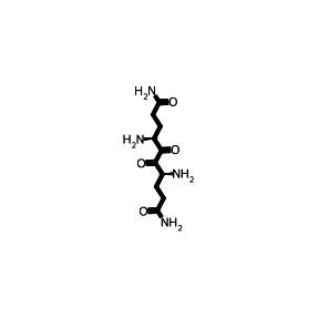 NC(=O)CC[C@H](N)C(=O)C(=O)[C@@H](N)CCC(N)=O